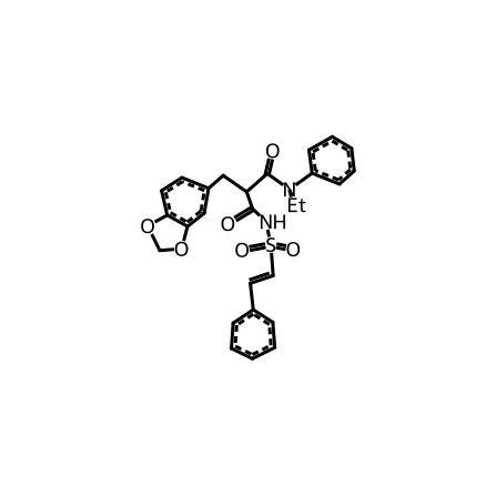 CCN(C(=O)C(Cc1ccc2c(c1)OCO2)C(=O)NS(=O)(=O)/C=C/c1ccccc1)c1ccccc1